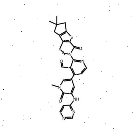 Cn1cc(-c2ccnc(N3CCc4c(sc5c4CC(C)(C)C5)C3=O)c2C=O)cc(Nc2ccncn2)c1=O